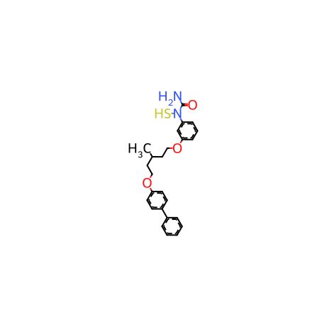 CC(CCOc1ccc(-c2ccccc2)cc1)CCOc1cccc(N(S)C(N)=O)c1